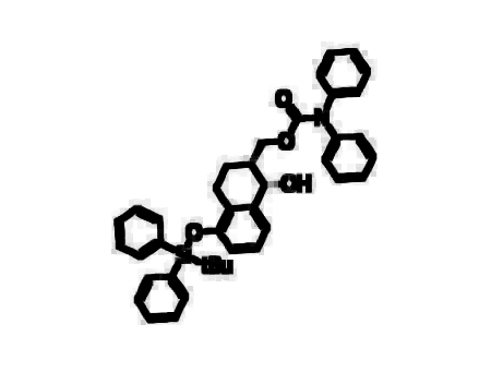 CC(C)(C)[Si](Oc1cccc2c1CC[C@@H](COC(=O)N(c1ccccc1)c1ccccc1)[C@@H]2O)(c1ccccc1)c1ccccc1